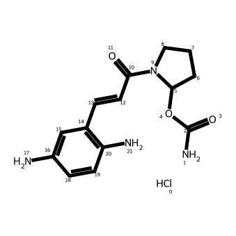 Cl.NC(=O)OC1CCCN1C(=O)C=Cc1cc(N)ccc1N